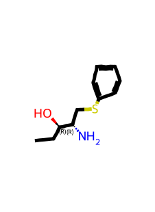 CC[C@@H](O)[C@@H](N)CSc1ccccc1